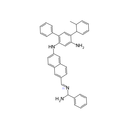 CC1C=CC=CC1c1cc(-c2ccccc2)c(Nc2ccc3cc(/C=N/C(N)c4ccccc4)ccc3c2)cc1N